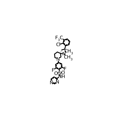 CN(C)[C@]1(CCc2cccc(C(F)(F)F)c2Cl)CCCN(c2cc(F)c(S(=O)(=O)Nc3ccncn3)c(F)c2)C1